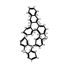 c1ccc2c(c1)Oc1ccccc1N2c1ccc2oc3ccc4c5cc6ccccc6cc5c5ccccc5c4c3c2c1